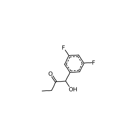 CCC(=O)C(O)c1cc(F)cc(F)c1